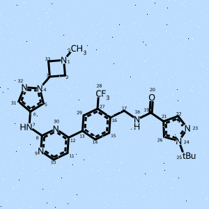 CN1CC(n2cc(Nc3nccc(-c4ccc(CNC(=O)c5cnn(C(C)(C)C)c5)c(C(F)(F)F)c4)n3)cn2)C1